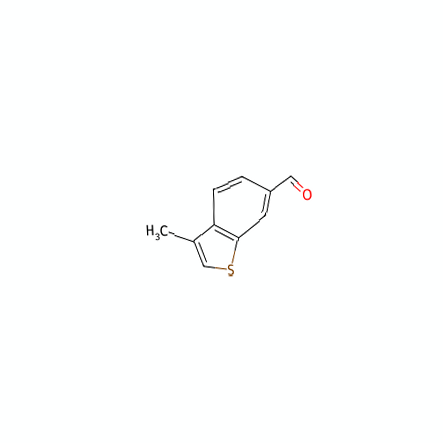 Cc1csc2cc(C=O)ccc12